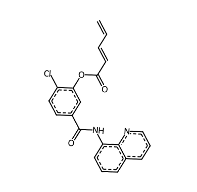 C=C/C=C/C(=O)Oc1cc(C(=O)Nc2cccc3cccnc23)ccc1Cl